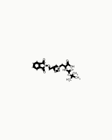 CC(C)(C)OC(=O)NC(Cn1cc(CON2C(=O)c3ccccc3C2=O)nn1)C(=O)O